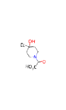 CCC1(O)CCN(C(=O)C(=O)O)CC1